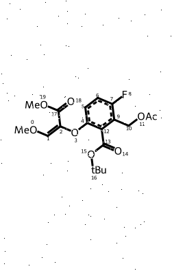 CO/C=C(/Oc1ccc(F)c(COC(C)=O)c1C(=O)OC(C)(C)C)C(=O)OC